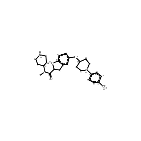 CN(C(=O)C1Cc2cc(OC3CCN(c4ccc(C(F)(F)F)cc4)CC3)ccc2O1)C1CCNCC1